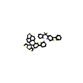 CC1(C)c2ccccc2N(c2cccc3c2sc2c4c(ccc23)C2(c3ccsc3-c3sccc32)c2ccc3c5c(ccc-4c25)CC3)c2cc3sc4ccccc4c3cc21